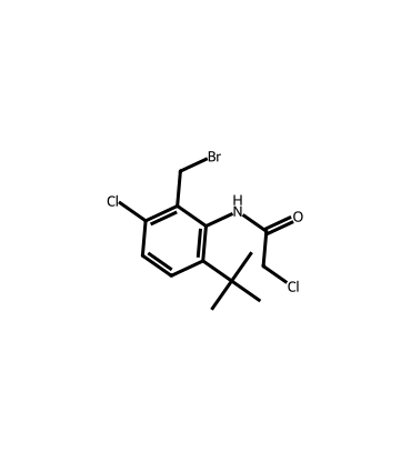 CC(C)(C)c1ccc(Cl)c(CBr)c1NC(=O)CCl